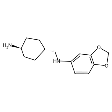 N[C@H]1CC[C@H](CNc2ccc3c(c2)OCO3)CC1